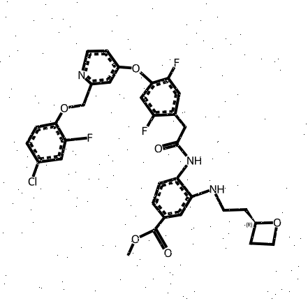 COC(=O)c1ccc(NC(=O)Cc2cc(F)c(Oc3ccnc(COc4ccc(Cl)cc4F)c3)cc2F)c(NCC[C@@H]2CCO2)c1